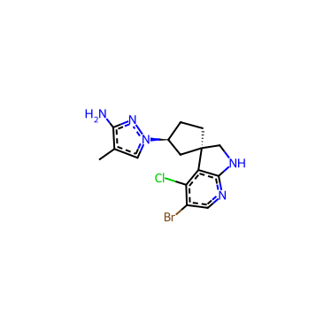 Cc1cn([C@H]2CC[C@@]3(CNc4ncc(Br)c(Cl)c43)C2)nc1N